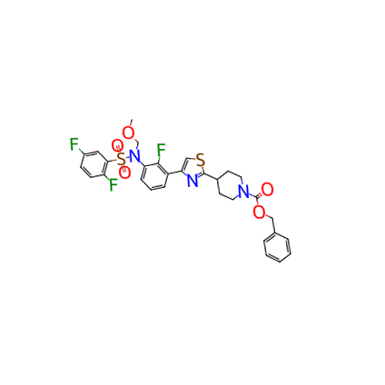 COCN(c1cccc(-c2csc(C3CCN(C(=O)OCc4ccccc4)CC3)n2)c1F)S(=O)(=O)c1cc(F)ccc1F